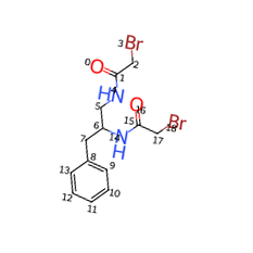 O=C(CBr)NCC(Cc1ccccc1)NC(=O)CBr